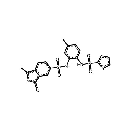 Cc1ccc(NS(=O)(=O)c2cccs2)c(NS(=O)(=O)c2ccc3c(c2)c(=O)sn3C)c1